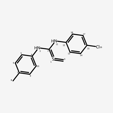 C=S=C(Nc1ccc(C)cc1)Nc1ccc(Cl)cc1